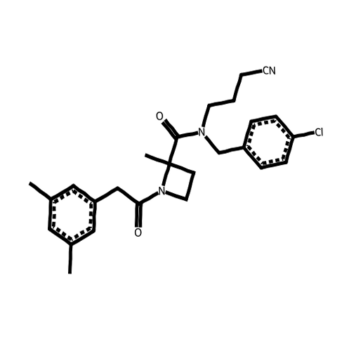 Cc1cc(C)cc(CC(=O)N2CCC2(C)C(=O)N(CCCC#N)Cc2ccc(Cl)cc2)c1